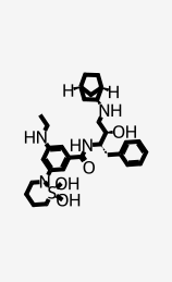 CCNc1cc(C(=O)N[C@@H](Cc2ccccc2)[C@H](O)CN[C@H]2C[C@@H]3CC[C@H]2C3)cc(N2CCCCS2(O)O)c1